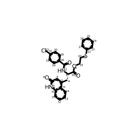 O=C(N[C@@H](Cc1cc(=O)[nH]c2ccccc12)C(=O)OCCSc1ccccc1)c1ccc(Cl)cc1